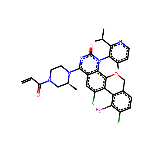 C=CC(=O)N1CCN(c2nc(=O)n(-c3c(C)ccnc3C(C)C)c3c4c(c(Cl)cc23)-c2c(ccc(F)c2P)CO4)[C@@H](C)C1